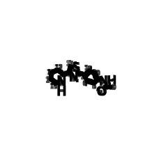 CC(=O)Nc1ccc(-c2nc(C3CCCCN3)cs2)cc1